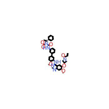 C=CC(=O)N1CC(Oc2cc3c(Nc4cc(-c5cccc(NC(=O)N6C(=O)OC[C@@H]6c6ccccc6)c5)ccc4OC)ncnc3cc2OC)C1